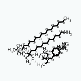 CC(C)(C)CCCCCCCCCCCN.CCCCCCCCCCCCCCCC[N+](C)(C)C.CC[N+](CC)(CC)Cc1ccccc1.Cl.Cl.N.O